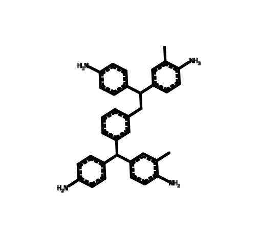 Cc1cc(C(Cc2cccc(C(c3ccc(N)cc3)c3ccc(N)c(C)c3)c2)c2ccc(N)cc2)ccc1N